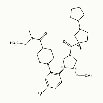 COC[C@H]1CN(C(=O)[C@@]2(F)CCN(C3CCCC3)C2)C[C@@H]1c1ccc(C(F)(F)F)cc1N1CCC(C(=O)N(C)CC(=O)O)CC1